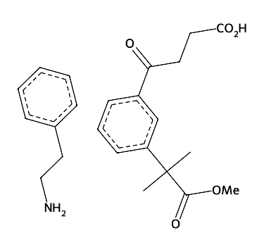 COC(=O)C(C)(C)c1cccc(C(=O)CCC(=O)O)c1.NCCc1ccccc1